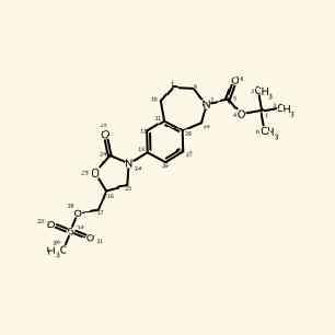 CC(C)(C)OC(=O)N1CCCc2cc(N3CC(COS(C)(=O)=O)OC3=O)ccc2C1